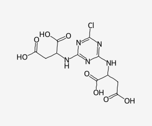 O=C(O)CC(Nc1nc(Cl)nc(NC(CC(=O)O)C(=O)O)n1)C(=O)O